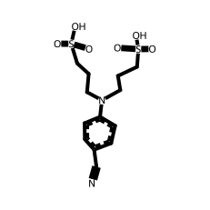 N#Cc1ccc(N(CCCS(=O)(=O)O)CCCS(=O)(=O)O)cc1